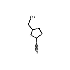 N#CC1CCC(CO)O1